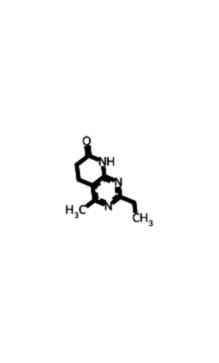 CCc1nc(C)c2c(n1)NC(=O)CC2